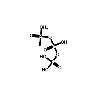 BP(C)(=O)OP(=O)(O)OP(=O)(O)O